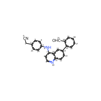 N#CCc1ccc(Nc2ccnc3ccc(-c4ccccc4C=O)cc23)cc1